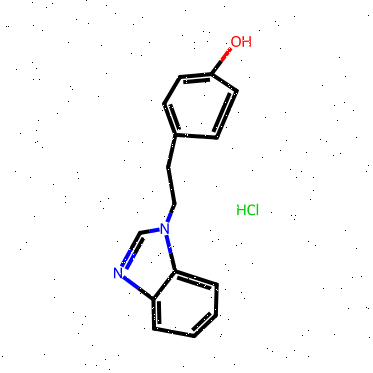 Cl.Oc1ccc(CCn2cnc3ccccc32)cc1